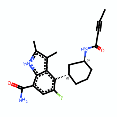 CC#CC(=O)N[C@H]1CCC[C@H](c2c(F)cc(C(N)=O)c3[nH]c(C)c(C)c23)C1